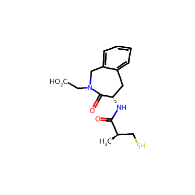 C[C@H](CS)C(=O)N[C@H]1Cc2ccccc2CN(CC(=O)O)C1=O